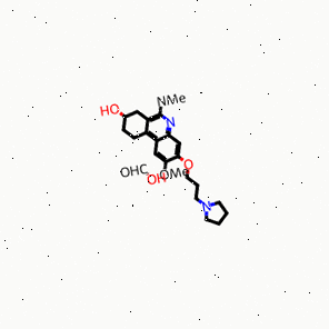 CNc1nc2cc(OCCCN3CCCC3)c(OC)cc2c2c1CC(O)CC2.O=CO